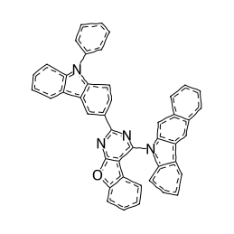 c1ccc(-n2c3ccccc3c3cc(-c4nc(-n5c6ccccc6c6cc7ccccc7cc65)c5c(n4)oc4ccccc45)ccc32)cc1